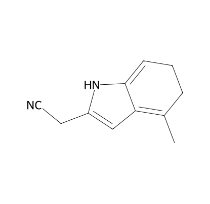 CC1=c2cc(CC#N)[nH]c2=CCC1